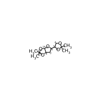 CC1(C)OCC(C2[CH]C3OC(C)(C)OC3O2)O1